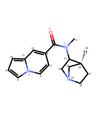 CN(C(=O)c1ccn2cccc2c1)C1CN2CC[C@H]1C2